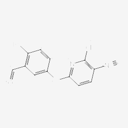 [C-]#[N+]c1ccc(Oc2ccc(Br)c(C=O)c2)nc1Cl